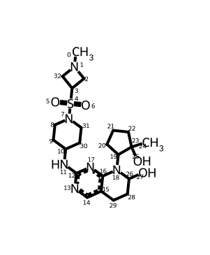 CN1CC(S(=O)(=O)N2CCC(Nc3ncc4c(n3)N(C3CCCC3(C)O)C(O)CC4)CC2)C1